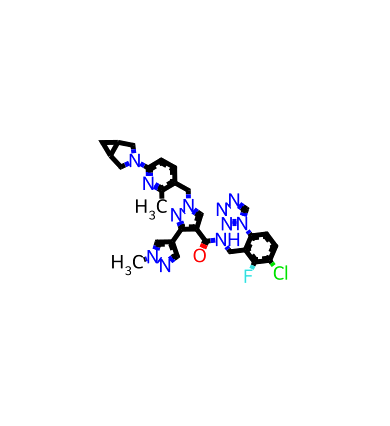 Cc1nc(N2CC3CC3C2)ccc1Cn1cc(C(=O)NCc2c(-n3cnnn3)ccc(Cl)c2F)c(-c2cnn(C)c2)n1